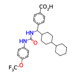 O=C(Nc1ccc(OC(F)(F)F)cc1)NC(c1ccc(C(=O)O)cc1)C1CCC(C2CCCCC2)CC1